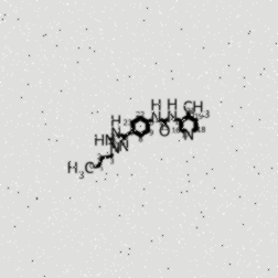 CCCCN1N=C(c2ccc(NC(=O)Nc3cnccc3C)cc2)NN1